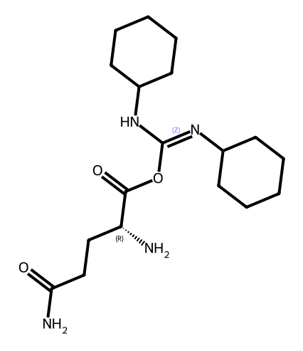 NC(=O)CC[C@@H](N)C(=O)O/C(=N\C1CCCCC1)NC1CCCCC1